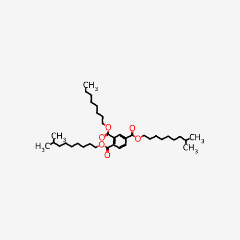 CCCCCCCCOC(=O)c1cc(C(=O)OCCCCCCCC(C)C)ccc1C(=O)OCCCCCCCC(C)C